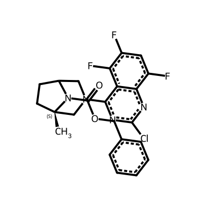 C[C@]12CCC(CN(c3nc(Cl)nc4c(F)cc(F)c(F)c34)C1)N2C(=O)OCc1ccccc1